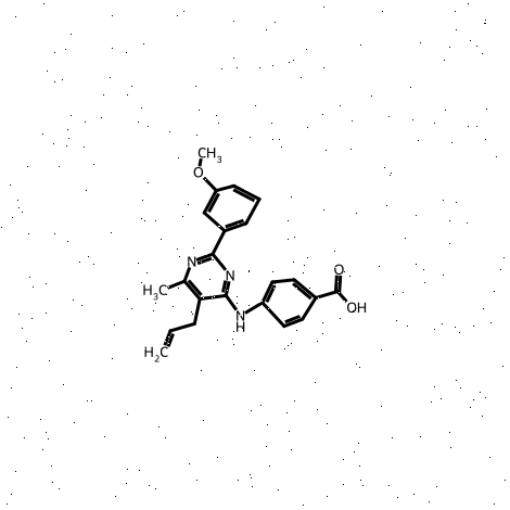 C=CCc1c(C)nc(-c2cccc(OC)c2)nc1Nc1ccc(C(=O)O)cc1